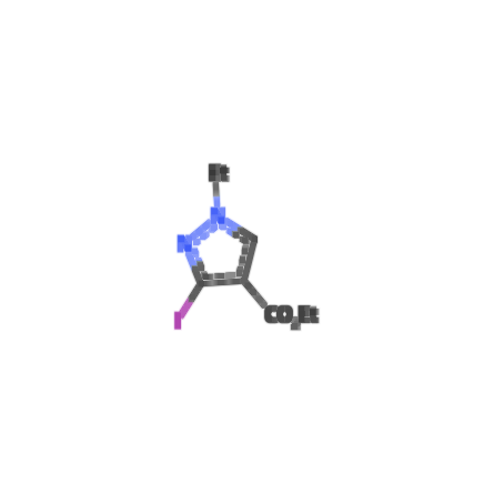 CCOC(=O)c1cn(CC)nc1I